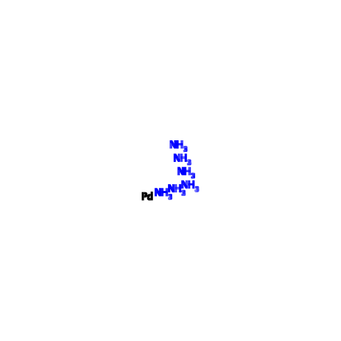 N.N.N.N.N.N.[Pd]